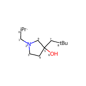 C[C](C)CN1CCC(O)(CC(C)(C)C)C1